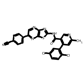 Cc1cc(-c2cc(Cl)ccc2Cl)c(C(=O)Nc2nc3ncc(-c4ccc(C#N)cc4)nc3s2)cn1